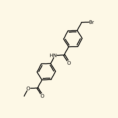 COC(=O)c1ccc(NC(=O)c2ccc(CBr)cc2)cc1